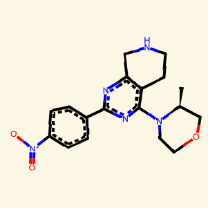 C[C@H]1COCCN1c1nc(-c2ccc([N+](=O)[O-])cc2)nc2c1CCNC2